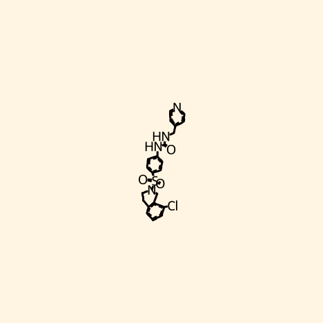 O=C(NCc1ccncc1)Nc1ccc(S(=O)(=O)N2CCc3cccc(Cl)c3C2)cc1